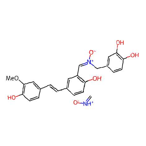 C=[NH+][O-].COc1cc(/C=C/c2ccc(O)c(/C=[N+](/[O-])Cc3ccc(O)c(O)c3)c2)ccc1O